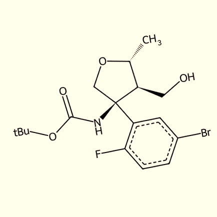 C[C@H]1OC[C@@](NC(=O)OC(C)(C)C)(c2cc(Br)ccc2F)[C@@H]1CO